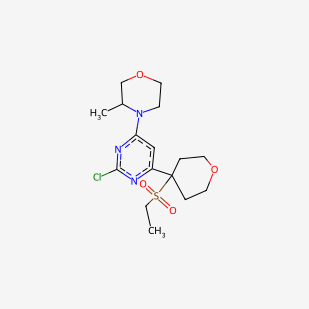 CCS(=O)(=O)C1(c2cc(N3CCOCC3C)nc(Cl)n2)CCOCC1